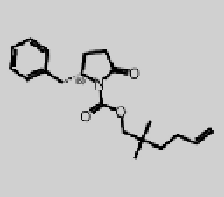 C=CCCC(C)(C)COC(=O)N1C(=O)CC[C@H]1Cc1ccccc1